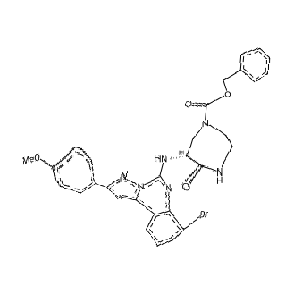 COc1ccc(-c2nc3c4cccc(Br)c4nc(N[C@@H]4CN(C(=O)OCc5ccccc5)CCNC4=O)n3n2)cc1